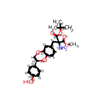 COC(=O)C(N)(Cc1ccc2c(c1)OC[C@H](c1ccc(O)cc1)O2)C(=O)OC(C)(C)C